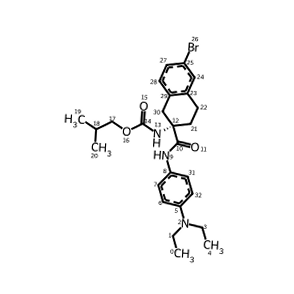 CCN(CC)c1ccc(NC(=O)[C@]2(NC(=O)OCC(C)C)CCc3cc(Br)ccc3C2)cc1